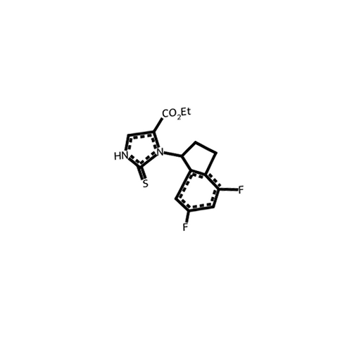 CCOC(=O)c1c[nH]c(=S)n1C1CCc2c(F)cc(F)cc21